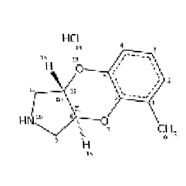 Cc1cccc2c1O[C@H]1CNC[C@@H]1O2.Cl